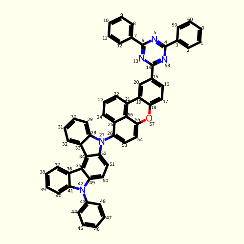 c1ccc(-c2nc(-c3ccccc3)nc(-c3ccc4c(c3)-c3cccc5c(-n6c7ccccc7c7c8c9ccccc9n(-c9ccccc9)c8ccc76)ccc(c35)O4)n2)cc1